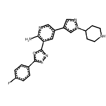 Nc1ncc(-c2cnn(C3CCNCC3)c2)cc1-c1nnc(-c2ccc(F)cc2)o1